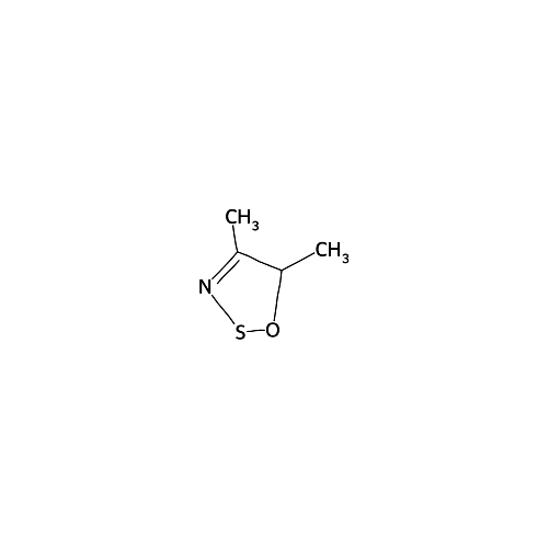 CC1=NSOC1C